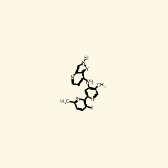 CCn1cc2nccc(Nc3cc(-c4nc(C)ccc4F)ncc3C)c2n1